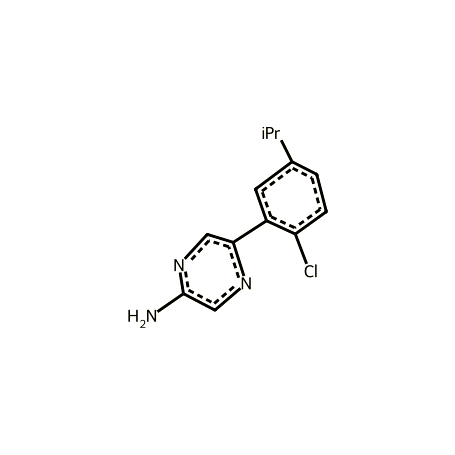 CC(C)c1ccc(Cl)c(-c2cnc(N)cn2)c1